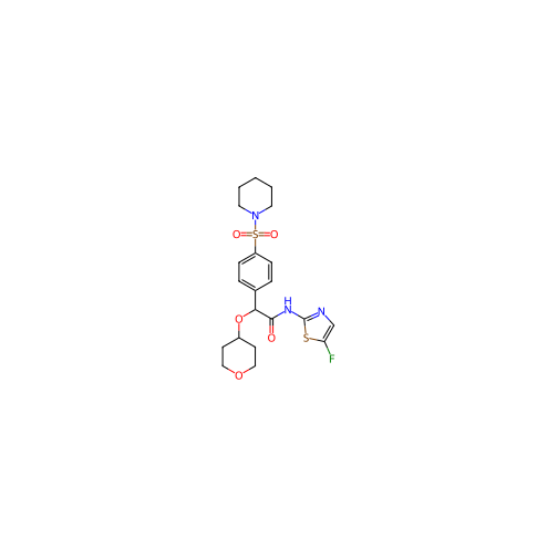 O=C(Nc1ncc(F)s1)C(OC1CCOCC1)c1ccc(S(=O)(=O)N2CCCCC2)cc1